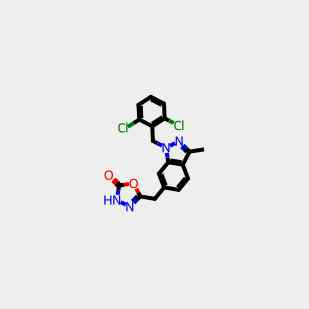 Cc1nn(Cc2c(Cl)cccc2Cl)c2cc(Cc3n[nH]c(=O)o3)ccc12